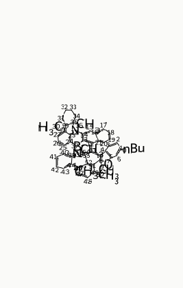 CCCCc1ccc2c(c1)OC1(C)C2=C2c3c4c(cc5ccccc35)N3c5c(cccc5C5(C)CCCCC35C)B4N3c4ccccc4C4(C)C=CC(C)C1=C4C23C